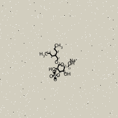 CCCC(CCC)CO[C@@H]1O[C@H](CO)[C@H](O)[C@H](OS(=O)(=O)[O-])[C@H]1O.[Na+]